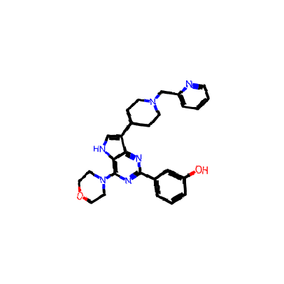 Oc1cccc(-c2nc(N3CCOCC3)c3[nH]cc(C4CCN(Cc5ccccn5)CC4)c3n2)c1